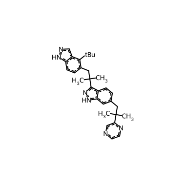 CC(C)(C)c1c(CC(C)(C)c2n[nH]c3cc(CC(C)(C)c4cnccn4)ccc23)ccc2[nH]ncc12